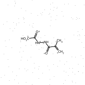 C=C(C)C(=O)NNC(=O)C(=O)O